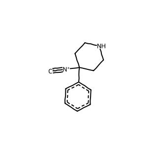 [C-]#[N+]C1(c2ccccc2)CCNCC1